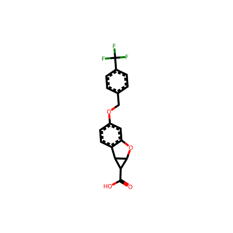 O=C(O)C1C2Oc3cc(OCc4ccc(C(F)(F)F)cc4)ccc3C21